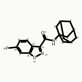 O=C(NC12CC3CC(CC(C3)C1)C2)c1noc2cc(F)ccc12